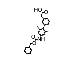 Cc1cc(NC(=O)OCc2ccccc2)cc(C)c1-c1cccc(CC(=O)O)c1